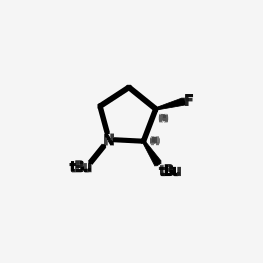 CC(C)(C)[C@@H]1[C@H](F)CCN1C(C)(C)C